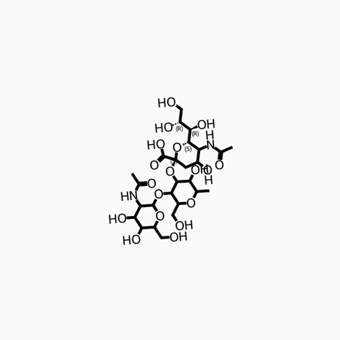 CC(=O)NC1C(OC2C(CO)OC(C)C(O)C2O[C@]2(C(=O)O)CC(O)C(NC(C)=O)[C@@H]([C@H](O)[C@H](O)CO)O2)OC(CO)C(O)C1O